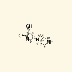 C#Cc1cc(N2CC3CNCC(C3)C2)cnc1Cl